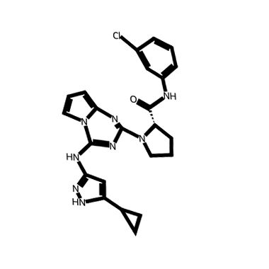 O=C(Nc1cccc(Cl)c1)[C@@H]1CCCN1c1nc(Nc2cc(C3CC3)[nH]n2)n2cccc2n1